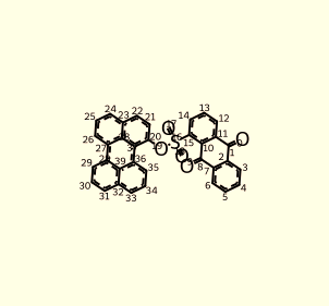 O=C1c2ccccc2C(=O)c2c1cccc2S(=O)(=O)Oc1ccc2cccc3c4cccc5cccc(c1c23)c54